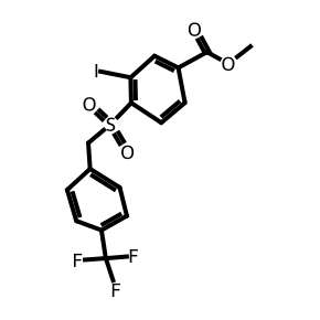 COC(=O)c1ccc(S(=O)(=O)Cc2ccc(C(F)(F)F)cc2)c(I)c1